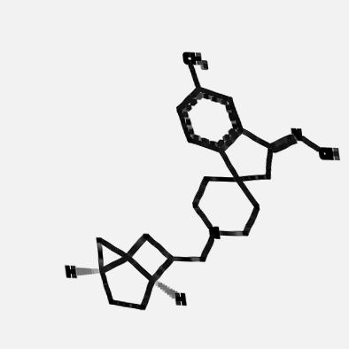 Cc1ccc2c(c1)/C(=N/O)CC21CCN(CC2CC34C[C@@H]3CC[C@H]24)CC1